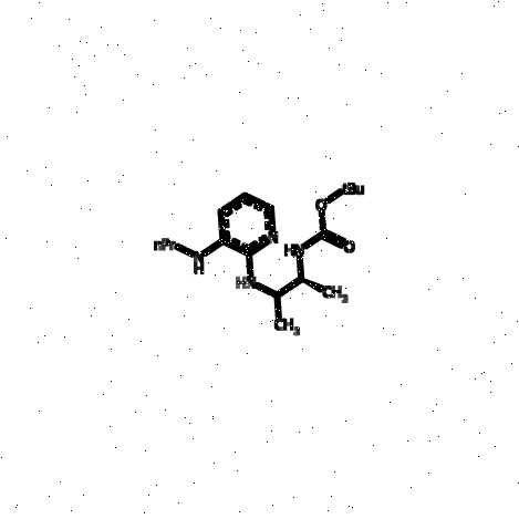 CCCNc1cccnc1NC(C)[C@H](C)NC(=O)OC(C)(C)C